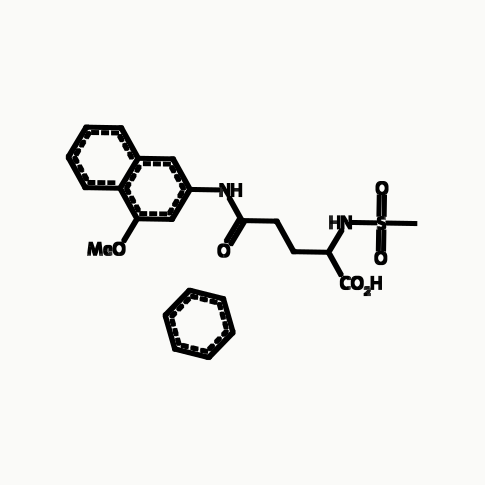 COc1cc(NC(=O)CCC(NS(C)(=O)=O)C(=O)O)cc2ccccc12.c1ccccc1